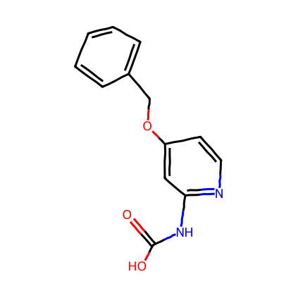 O=C(O)Nc1cc(OCc2ccccc2)ccn1